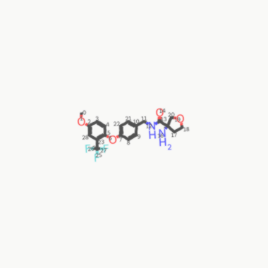 COc1ccc(Oc2ccc(CNC(=O)C3(N)CCOC3)cc2)c(C(F)(F)F)c1